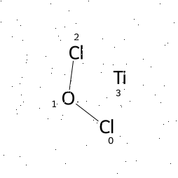 ClOCl.[Ti]